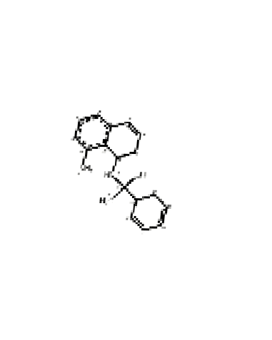 CC(C)(NC1CC=Cc2cccc(N)c21)C1C=CC=CC1